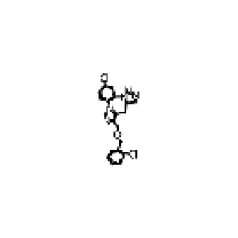 Clc1ccc2c(c1)-n1nncc1Cc1c(COCc3ccccc3Cl)ncn1-2